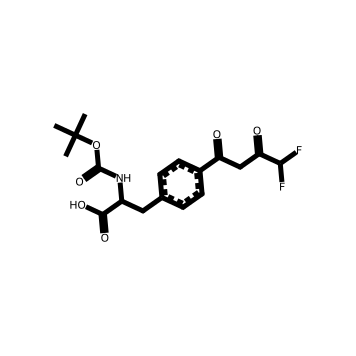 CC(C)(C)OC(=O)NC(Cc1ccc(C(=O)CC(=O)C(F)F)cc1)C(=O)O